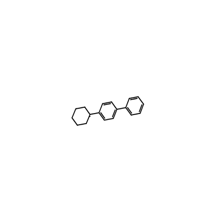 c1ccc(-c2ccc([C]3CCCCC3)cc2)cc1